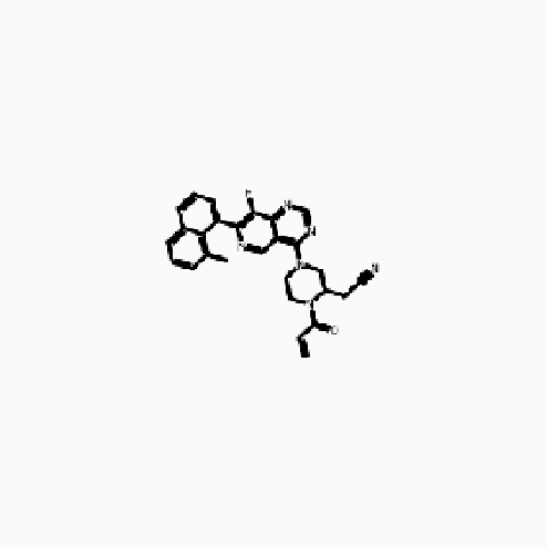 C=CC(=O)N1CCN(c2ncnc3c(F)c(-c4cccc5cccc(C)c45)ncc23)CC1CC#N